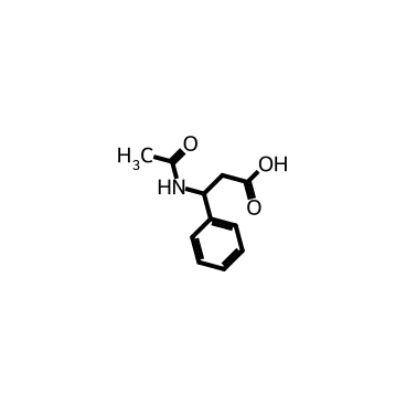 CC(=O)NC(CC(=O)O)c1ccccc1